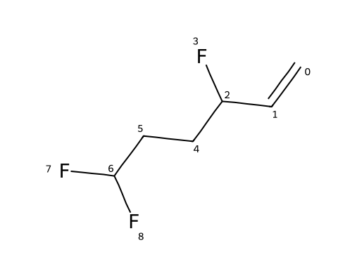 C=CC(F)CCC(F)F